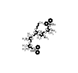 C=CCCCOC1OC(COC2OC(COC3OC(CO[Si](c4ccccc4)(c4ccccc4)C(C)(C)C)C(OP)C3C)C(OP)C2C)C(OC2OC(COC3OC(CO[Si](c4ccccc4)(c4ccccc4)C(C)(C)C)C(OP)C3C)C(OP)C2C)C1C